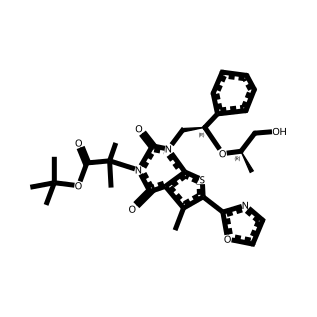 Cc1c(-c2ncco2)sc2c1c(=O)n(C(C)(C)C(=O)OC(C)(C)C)c(=O)n2C[C@H](O[C@H](C)CO)c1ccccc1